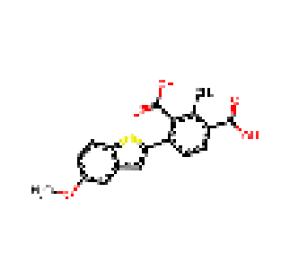 COc1ccc2sc(-c3ccc(C(=O)O)c(C)c3C(=O)O)cc2c1